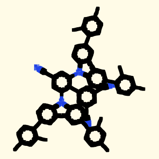 Cc1ccc(-c2ccc3c(c2)c2cc(-c4ccc(C)cc4C)ccc2n3-c2cc(C#N)cc(-n3c4ccc(-c5ccc(C)cc5C)cc4c4cc(-c5ccc(C)cc5C)ccc43)c2-c2cc(C#N)cc(C#N)c2)c(C)c1